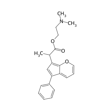 CC(C(=O)OCCN(C)C)c1cc(-c2ccccc2)c2cccoc1-2